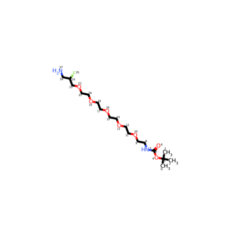 CC(C)(C)OC(=O)NCCOCCOCCOCCOCCOCC(F)CN